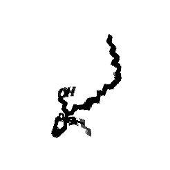 CCCCCCCC/C=C\CCCCCCCCC(=CCCO)C1([SiH3])CCCCO1